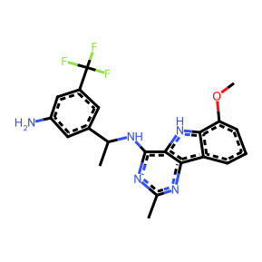 COc1cccc2c1[nH]c1c(NC(C)c3cc(N)cc(C(F)(F)F)c3)nc(C)nc12